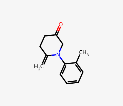 C=C1CCC(=O)CN1c1ccccc1C